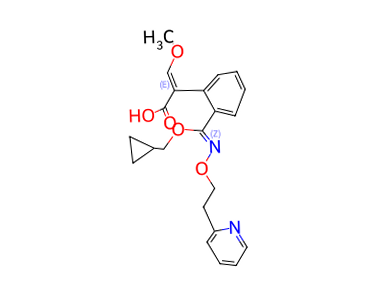 CO/C=C(/C(=O)O)c1ccccc1/C(=N/OCCc1ccccn1)OCC1CC1